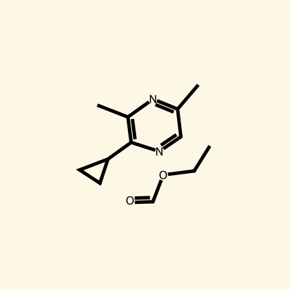 CCOC=O.Cc1cnc(C2CC2)c(C)n1